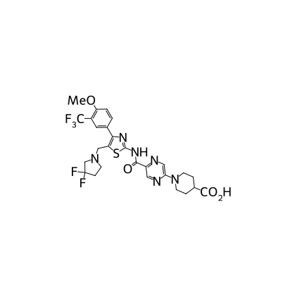 COc1ccc(-c2nc(NC(=O)c3cnc(N4CCC(C(=O)O)CC4)cn3)sc2CN2CCC(F)(F)C2)cc1C(F)(F)F